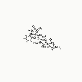 CC(C)OC(=O)[C@H](C)NP(=S)(OC[C@@]1(C(F)F)O[C@@H](n2cc(F)c(N)nc2=O)[C@@H](O)[C@@H]1O)Oc1ccccc1